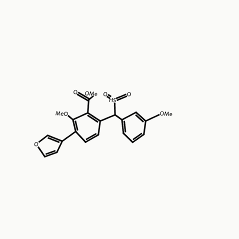 COC(=O)c1c(C(c2cccc(OC)c2)[SH](=O)=O)ccc(-c2ccoc2)c1OC